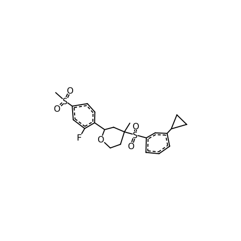 CC1(S(=O)(=O)c2cccc(C3CC3)c2)CCOC(c2ccc(S(C)(=O)=O)cc2F)C1